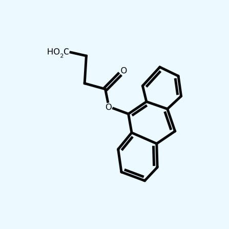 O=C(O)CCC(=O)Oc1c2ccccc2cc2ccccc12